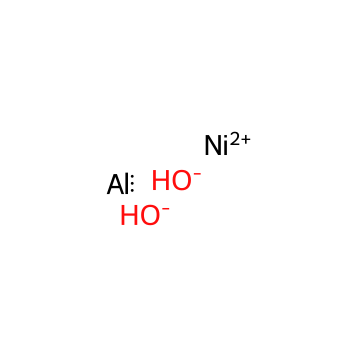 [Al].[Ni+2].[OH-].[OH-]